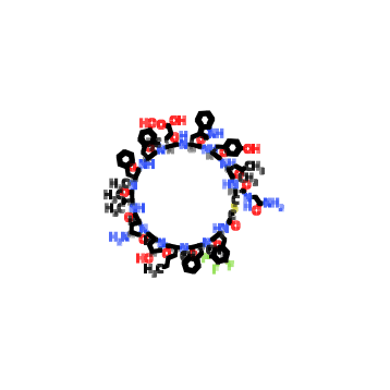 CCCC[C@H]1C(=O)N2C[C@H](O)C[C@@H]2C(=O)N2C[C@H](N)C[C@H]2C(=O)N[C@@H](C(C)C)C(=O)N(C)[C@@H](Cc2ccccc2)C(=O)N[C@@H](Cc2ccc(O)cc2)C(=O)N(C)[C@H](CCC(=O)O)C(=O)N[C@@H](Cc2c[nH]c3ccccc23)C(=O)N[C@@H](Cc2ccc(O)cc2)C(=O)N[C@@H](CC(C)C)C(=O)N[C@H](C(=O)NCC(N)=O)CSCC(=O)N[C@@H](Cc2cc(F)c(F)c(F)c2)C(=O)N(C)[C@@H](Cc2ccccc2)C(=O)N1C